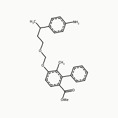 COC(=O)c1ccc(OCOCCC(C)c2ccc(N)cc2)c(C)c1-c1ccccc1